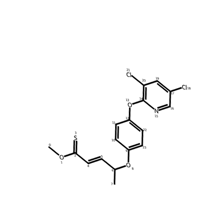 COC(=S)C=CC(C)Oc1ccc(Oc2ncc(Cl)cc2Cl)cc1